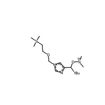 C[SiH](C)OC(c1cn(COCC[Si](C)(C)C)cn1)C(C)(C)C